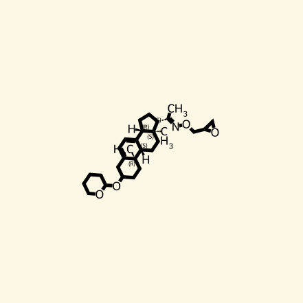 CC(=NOCC1CO1)[C@H]1CC[C@H]2C3=CC=C4CC(OC5CCCCO5)CC[C@]4(C)[C@H]3CC[C@]12C